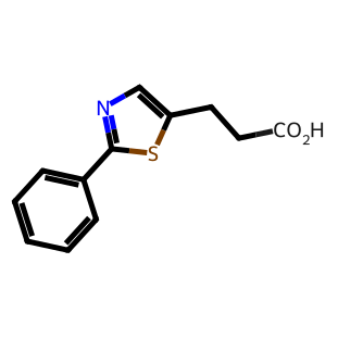 O=C(O)CCc1cnc(-c2ccccc2)s1